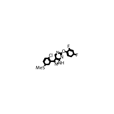 CSC1C=CC(Cl)=C(c2n[nH]c3nc(OC4=CCC(F)C=C4F)ncc23)C1